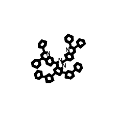 c1ccc(-c2cccc(-c3cc(-c4cccc(-c5ccccc5)c4)c4nc(-c5ccc6cc(-c7ccccc7)c(-c7ccccc7)nc6c5)nc(-c5ccc6c(-c7ccccc7)cc(-c7ccccc7)nc6c5)c4c3)c2)cc1